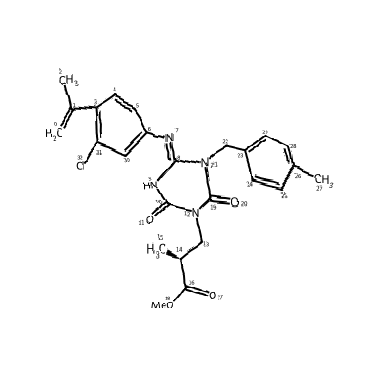 C=C(C)c1ccc(/N=c2\[nH]c(=O)n(C[C@H](C)C(=O)OC)c(=O)n2Cc2ccc(C)cc2)cc1Cl